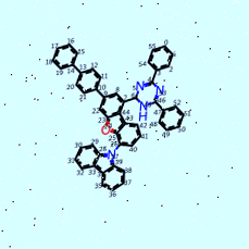 c1ccc(C2=NC(c3cc(-c4ccc(-c5ccccc5)cc4)cc4oc5c(-n6c7ccccc7c7ccccc76)cccc5c34)NC(c3ccccc3)=N2)cc1